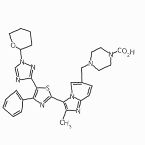 Cc1nc2ccc(CN3CCN(C(=O)O)CC3)cn2c1-c1nc(-c2ccccc2)c(-c2ncn(C3CCCCO3)n2)s1